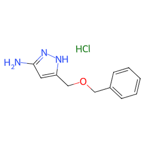 Cl.Nc1cc(COCc2ccccc2)[nH]n1